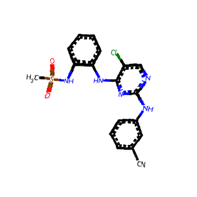 CS(=O)(=O)Nc1ccccc1Nc1nc(Nc2cccc(C#N)c2)ncc1Cl